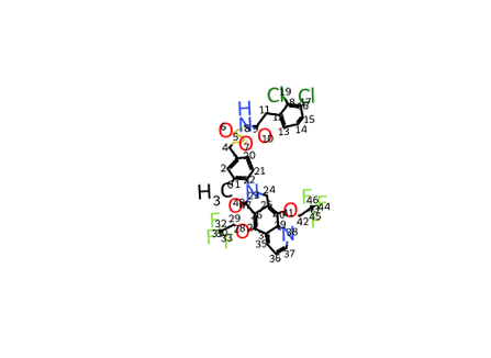 Cc1cc(CS(=O)(=O)NC(=O)Cc2cccc(Cl)c2Cl)ccc1N1Cc2c(c(OCC(F)(F)F)c3cccnc3c2OCC(F)(F)F)C1=O